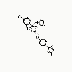 Cc1csc(-c2ccc(OC[C@@H]3CO[C@@](Cn4ccnc4)(c4ccc(Cl)cc4Cl)O3)cc2)n1